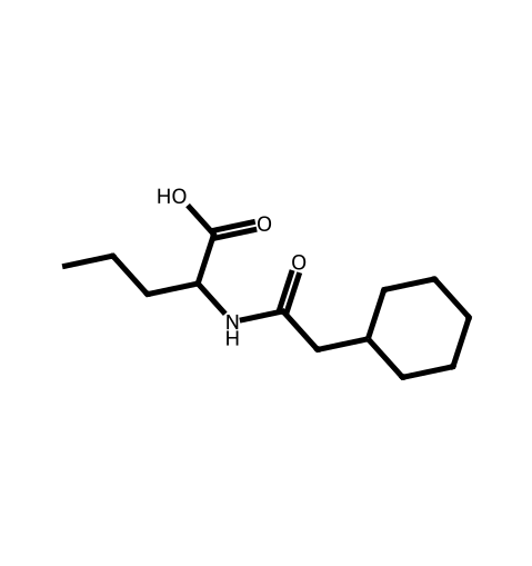 CCCC(NC(=O)CC1CCCCC1)C(=O)O